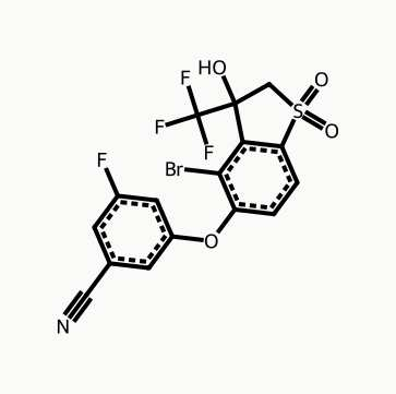 N#Cc1cc(F)cc(Oc2ccc3c(c2Br)C(O)(C(F)(F)F)CS3(=O)=O)c1